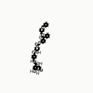 O=C(NC1CCN(C(=O)COc2cccc(C(C(=O)OCC3CCN(Cc4ccccc4)CC3)c3ccccc3)c2)CC1)c1ccc(CNC[C@H](O)c2ccc(O)c3[nH]c(=O)ccc23)cc1